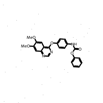 COc1cc2ncnc(Oc3ccc(NC(=O)Oc4ccccc4)cc3)c2cc1OC